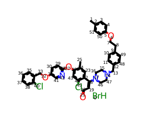 Br.Cc1ccc(OCCc2ccc(CN3CCN(/C(=C/C=O)c4cc(C)c(Oc5ccc(OCc6ccccc6Cl)cn5)cc4Cl)CC3)cc2)cc1